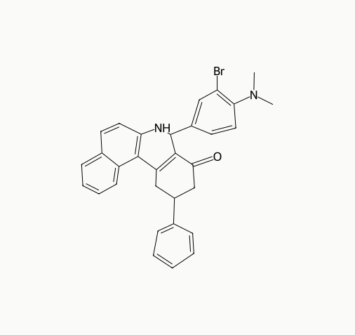 CN(C)c1ccc(C2Nc3ccc4ccccc4c3C3=C2C(=O)CC(c2ccccc2)C3)cc1Br